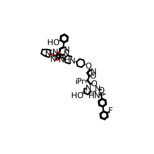 CC(C)[C@@H](C(=O)N1C[C@H](O)C[C@H]1C1=NO[C@](C)(c2ccc(-c3ccccc3F)cc2)N1)c1cc(O[C@H]2CC[C@@H](N3CCC(c4cnc(N5C6CCC5CN(c5c[nH]c7nnc(-c8ccccc8O)cc57)C6)nc4)CC3)CC2)no1